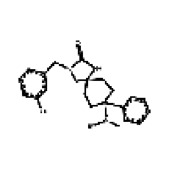 CCN(C)[C@]1(c2ccccc2)CC[C@@]2(CC1)CN(Cc1cccc(C#N)c1)C(=O)N2